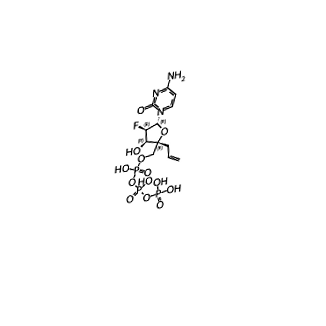 C=CC[C@]1(COP(=O)(O)OP(=O)(O)OP(=O)(O)O)O[C@@H](n2ccc(N)nc2=O)[C@H](F)[C@@H]1O